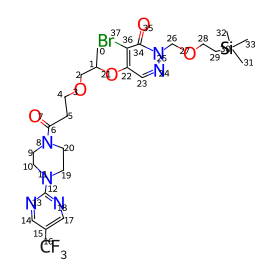 CC(COCCC(=O)N1CCN(c2ncc(C(F)(F)F)cn2)CC1)Oc1cnn(COCC[Si](C)(C)C)c(=O)c1Br